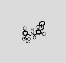 CCS(=O)(=O)c1ccc(Cl)cc1CNC(=O)c1cc(Cl)c(CN2CCCCC2)c(C(F)(F)F)c1